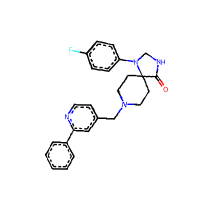 O=C1NCN(c2ccc(F)cc2)C12CCN(Cc1ccnc(-c3ccccc3)c1)CC2